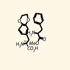 COC(=O)C(N)Cc1ccccc1.N[C@@H](Cc1ccc2c(c1)OCCO2)C(=O)O